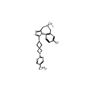 Cc1cnc(N2CC3(CC(c4nnc5n4-c4ccc(Cl)cc4CN(C)C5)C3)C2)nc1